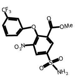 COC(=O)c1cc(S(N)(=O)=O)cc([N+](=O)[O-])c1Oc1cccc(C(F)(F)F)c1